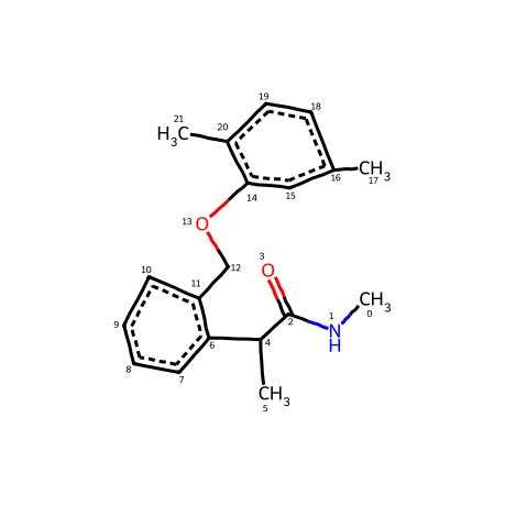 CNC(=O)C(C)c1ccccc1COc1cc(C)ccc1C